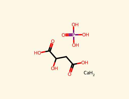 O=C(O)CC(O)C(=O)O.O=P(O)(O)O.[CaH2]